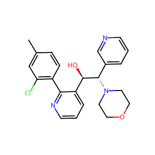 Cc1ccc(-c2ncccc2[C@@H](O)[C@H](c2cccnc2)N2CCOCC2)c(Cl)c1